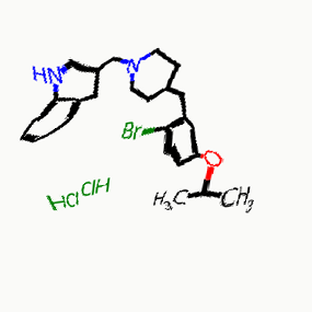 CC(C)Oc1ccc(Br)c(CC2CCN(CC3CNc4ccccc4C3)CC2)c1.Cl.Cl